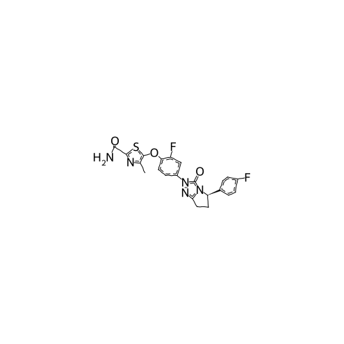 Cc1nc(C(N)=O)sc1Oc1ccc(-n2nc3n(c2=O)[C@@H](c2ccc(F)cc2)CC3)cc1F